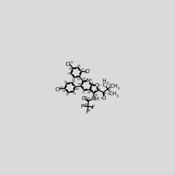 CC(C)(C)C(=O)c1oc2nc(-c3ccc(Cl)cc3Cl)c(-c3ccc(Cl)cc3)cc2c1NC(=O)C(F)(F)F